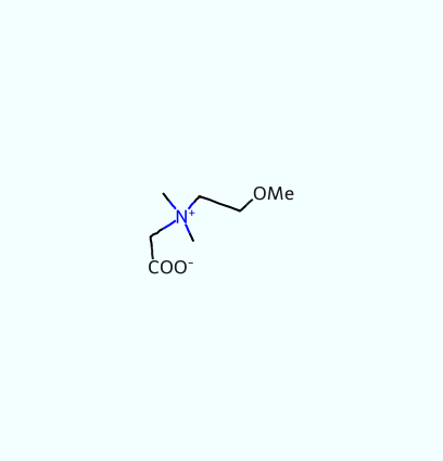 COCC[N+](C)(C)CC(=O)[O-]